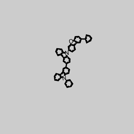 c1ccc(-c2ccc3oc4cc(-n5c6ccccc6c6cc(-c7ccc8c(c7)c7ccccc7n8-c7ccccc7)ccc65)ccc4c3c2)cc1